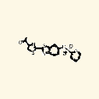 CC(=O)C1CSC(c2nc3ccc(OS(=O)(=O)c4ccccn4)cc3s2)=N1